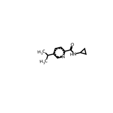 CC(C)c1ccc(C(=O)NC2CC2)nc1